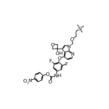 C[Si](C)(C)CCOCn1cc(C2(O)COC2)c2c(Oc3c(F)cc(NC(=O)Oc4ccc([N+](=O)[O-])cc4)cc3F)ccnc21